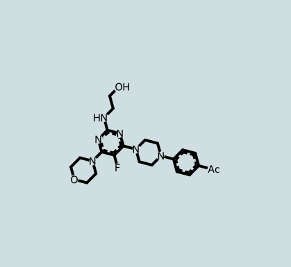 CC(=O)c1ccc(N2CCN(c3nc(NCCO)nc(N4CCOCC4)c3F)CC2)cc1